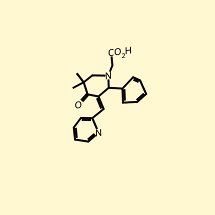 CC1(C)CN(CC(=O)O)C(c2ccccc2)C(=Cc2ccccn2)C1=O